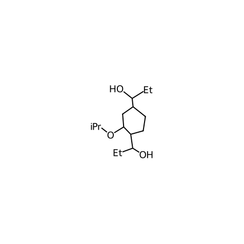 CCC(O)C1CCC(C(O)CC)C(OC(C)C)C1